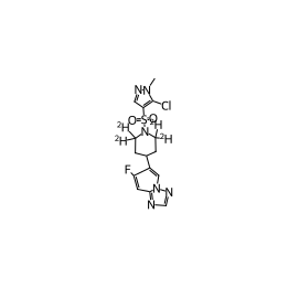 [2H]C1([2H])CC(c2cn3ncnc3cc2F)CC([2H])([2H])N1S(=O)(=O)c1cnn(C)c1Cl